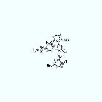 Cc1cccc(OCC(C)C)c1-n1nc2c(c1-c1ccc(NC(N)=O)cc1)CN(c1cc(C(C)(C)C)ccc1Cl)CC2